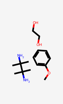 CC(C)(N)C(C)(C)N.COc1ccccc1.OCCO